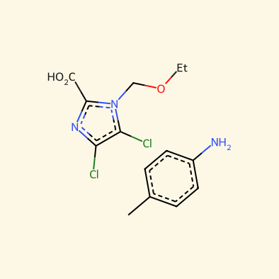 CCOCn1c(C(=O)O)nc(Cl)c1Cl.Cc1ccc(N)cc1